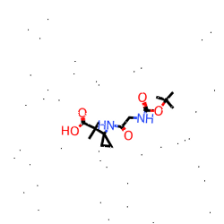 CC(C)(C)OC(=O)NCC(=O)NC1(C(C)(C)C(=O)O)CC1